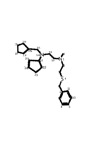 CN(CCSCc1ccccc1)CCN(CC1CCCC1)C1CCCC1